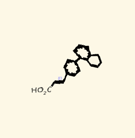 O=C(O)/C=C/c1ccc(-c2cccc3c2C=CCC3)cc1